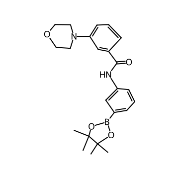 CC1(C)OB(c2cccc(NC(=O)c3cccc(N4CCOCC4)c3)c2)OC1(C)C